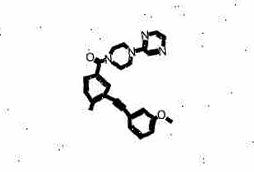 COc1cccc(C#Cc2cc(C(=O)N3CCN(c4cnccn4)CC3)ccc2C)c1